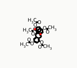 CC(=O)Oc1cc(OC(C)=O)c2c(c1)C1Cc3ccc(OC(C)=O)cc3C2c2cc(OC(C)=O)cc(OC(C)=O)c21